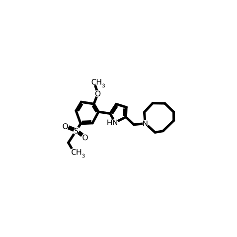 CCS(=O)(=O)c1ccc(OC)c(-c2ccc(CN3CCCCCCC3)[nH]2)c1